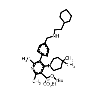 CCOC(=O)[C@@H](OC(C)(C)C)c1c(C)nc(C)c(-c2ccc(CNCCC3CCCCC3)cc2)c1N1CCC(C)(C)CC1